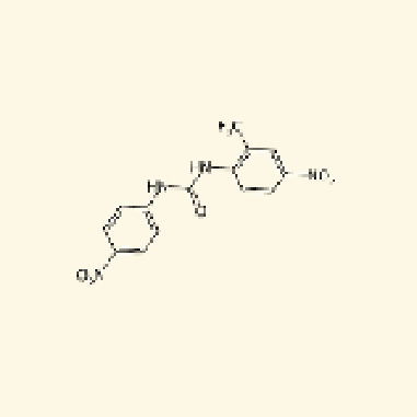 O=C(Nc1ccc([N+](=O)[O-])cc1)Nc1ccc([N+](=O)[O-])cc1C(F)(F)F